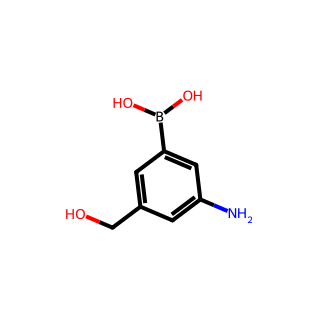 Nc1cc(CO)cc(B(O)O)c1